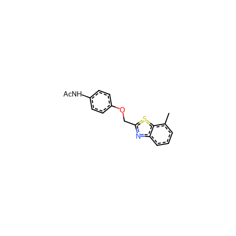 CC(=O)Nc1ccc(OCc2nc3cccc(C)c3s2)cc1